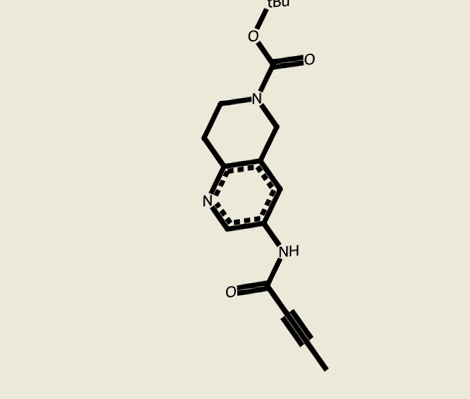 CC#CC(=O)Nc1cnc2c(c1)CN(C(=O)OC(C)(C)C)CC2